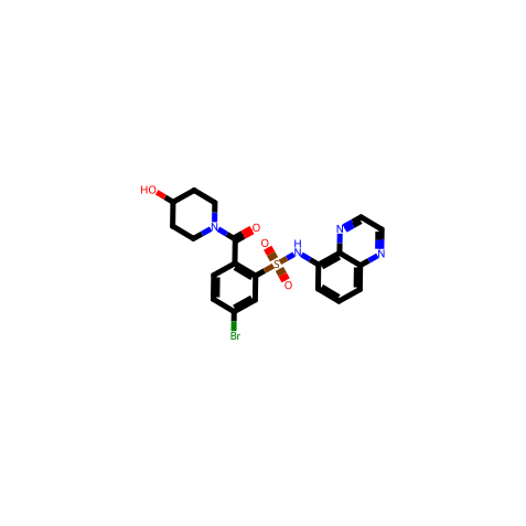 O=C(c1ccc(Br)cc1S(=O)(=O)Nc1cccc2nccnc12)N1CCC(O)CC1